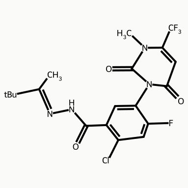 CC(=NNC(=O)c1cc(-n2c(=O)cc(C(F)(F)F)n(C)c2=O)c(F)cc1Cl)C(C)(C)C